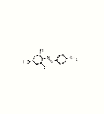 Nc1ccc(N=Nc2c(Cl)cc(O)cc2Cl)cc1